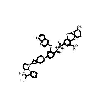 CC(C)c1ccccc1[C@@H]1CCCN1C1CC2(CCN(c3ccc(C(=O)NS(=O)(=O)c4cc5c(c([N+](=O)[O-])c4)NC4(CCCN(C)C4)CO5)c(Oc4cnc5[nH]ccc5c4)c3)CC2)C1